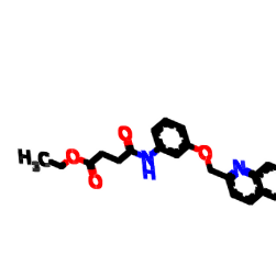 CCOC(=O)CCC(=O)Nc1cccc(OCc2ccc3ccccc3n2)c1